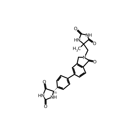 CC1(CN2Cc3cc(-c4ccc([C@@H]5NC(=O)NC5=O)cc4)ccc3C2=O)NC(=O)NC1=O